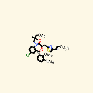 COc1cccc([C@H]2O[C@H](Cc3nc(/C=C/C(=O)O)cs3)C(=O)N(CC(C)(C)COC(C)=O)c3ccc(Cl)cc32)c1OC